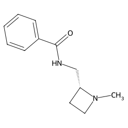 CN1CC[C@@H]1CNC(=O)c1ccccc1